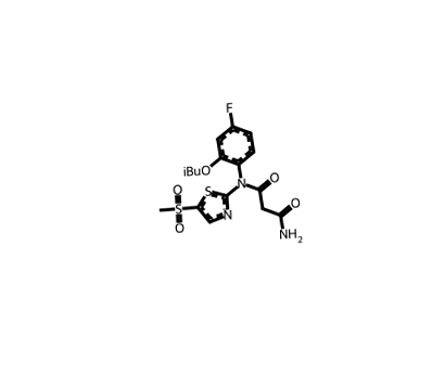 CC(C)COc1cc(F)ccc1N(C(=O)CC(N)=O)c1ncc(S(C)(=O)=O)s1